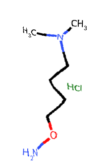 CN(C)CCCCON.Cl